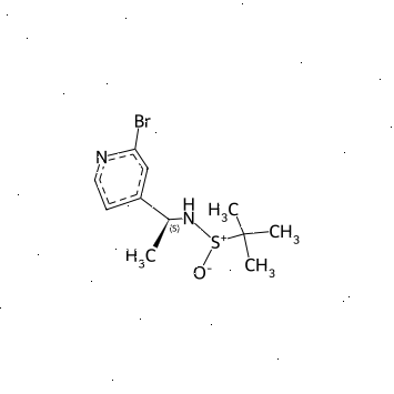 C[C@H](N[S+]([O-])C(C)(C)C)c1ccnc(Br)c1